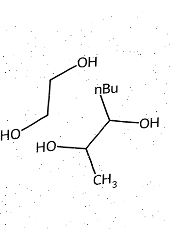 CCCCC(O)C(C)O.OCCO